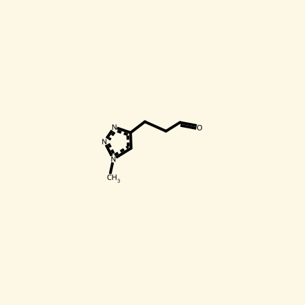 Cn1cc(CCC=O)nn1